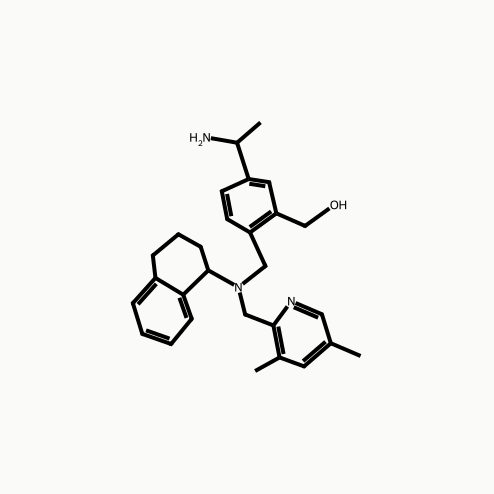 Cc1cnc(CN(Cc2ccc(C(C)N)cc2CO)C2CCCc3ccccc32)c(C)c1